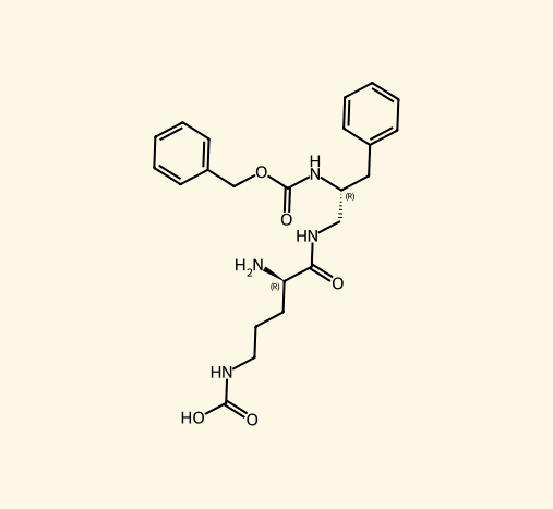 N[C@H](CCCNC(=O)O)C(=O)NC[C@@H](Cc1ccccc1)NC(=O)OCc1ccccc1